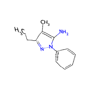 CCc1nn(-c2ccccc2)c(N)c1C